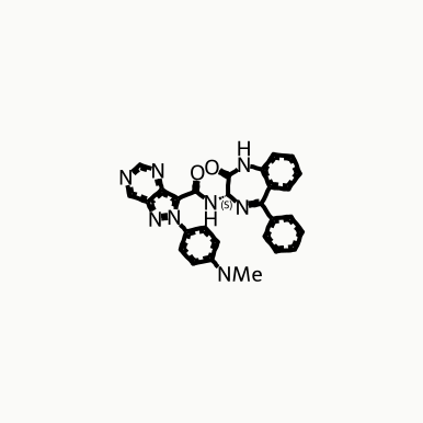 CNc1ccc(-n2nc3cncnc3c2C(=O)N[C@H]2N=C(c3ccccc3)c3ccccc3NC2=O)cc1